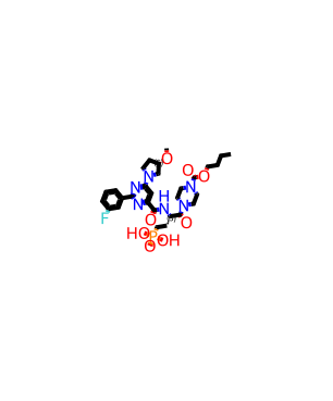 CCCCOC(=O)N1CCN(C(=O)[C@H](CCP(=O)(O)O)NC(=O)c2cc(N3CC[C@H](OC)C3)nc(-c3cccc(F)c3)n2)CC1